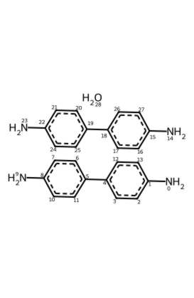 Nc1ccc(-c2ccc(N)cc2)cc1.Nc1ccc(-c2ccc(N)cc2)cc1.O